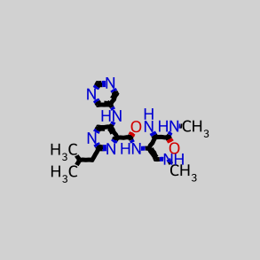 CN/C=C(/NC(=O)c1nc(CC(C)C)ncc1Nc1cncnc1)C(=N)C(=O)NC